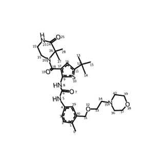 Cc1ccc(NC(=O)Nc2sc(C(C)(C)C)cc2C(=O)N2CCNC(=O)C2(C)C)cc1COCCN1CCOCC1